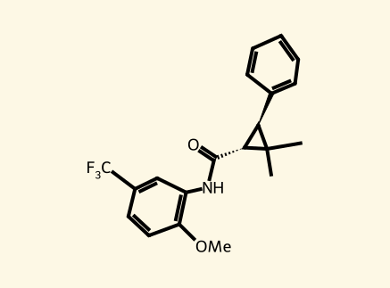 COc1ccc(C(F)(F)F)cc1NC(=O)[C@@H]1[C@@H](c2ccccc2)C1(C)C